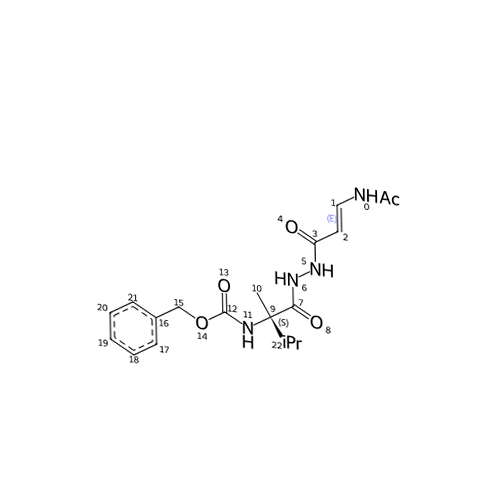 CC(=O)N/C=C/C(=O)NNC(=O)[C@@](C)(NC(=O)OCc1ccccc1)C(C)C